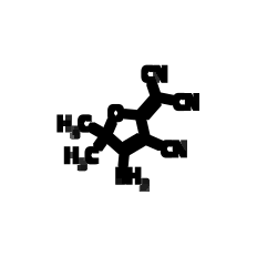 BC1=C(C#N)C(=C(C#N)C#N)OC1(C)C